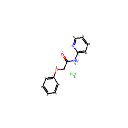 Cl.O=C(COc1ccccc1)Nc1ccccn1